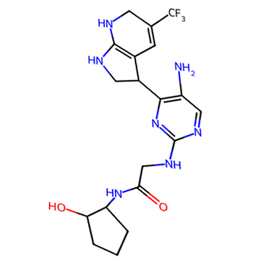 Nc1cnc(NCC(=O)NC2CCCC2O)nc1C1CNC2=C1C=C(C(F)(F)F)CN2